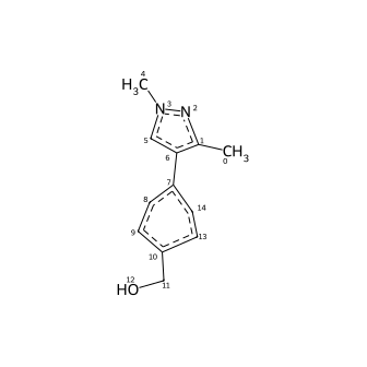 Cc1nn(C)cc1-c1ccc(CO)cc1